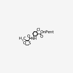 CCCCCOC(=O)c1cc(NC(=O)C2=C(C)OCCS2)ccc1Cl